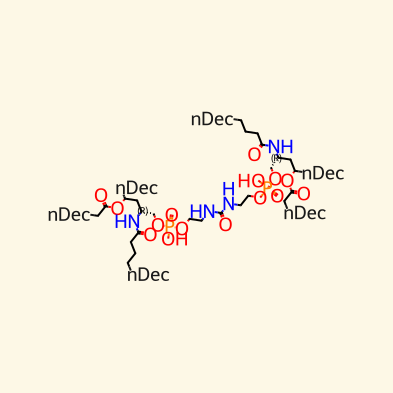 CCCCCCCCCCCCCC(=O)N[C@@H](COP(=O)(O)OCCNC(=O)NCCOP(=O)(O)OC[C@@H](CC(CCCCCCCCCC)OC(=O)CCCCCCCCCCC)NC(=O)CCCCCCCCCCCCC)CC(CCCCCCCCCC)OC(=O)CCCCCCCCCCC